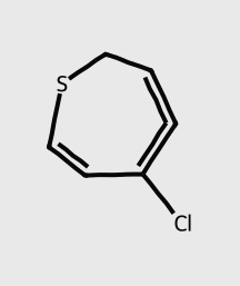 ClC1=C=CCSC=C1